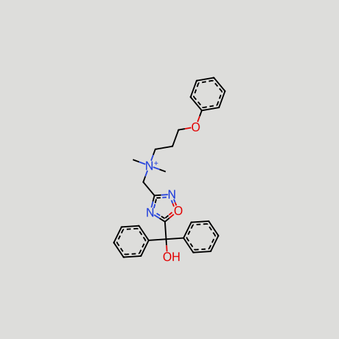 C[N+](C)(CCCOc1ccccc1)Cc1noc(C(O)(c2ccccc2)c2ccccc2)n1